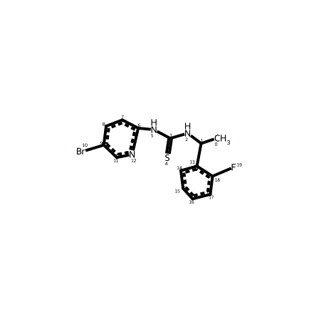 CC(NC(=S)Nc1ccc(Br)cn1)c1ccccc1F